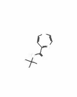 CC(C)(C)NC(=O)C1=NC=COC=C1